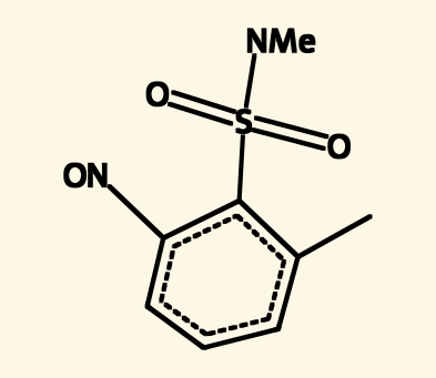 CNS(=O)(=O)c1c(C)cccc1N=O